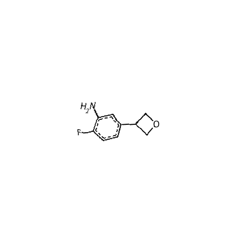 Nc1cc(C2COC2)ccc1F